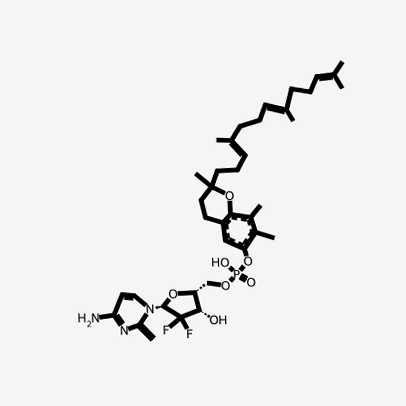 C=C1N=C(N)C=CN1[C@@H]1O[C@H](COP(=O)(O)Oc2cc3c(c(C)c2C)OC(C)(CC/C=C(\C)CC/C=C(\C)CCC=C(C)C)CC3)[C@H](O)C1(F)F